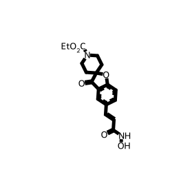 CCOC(=O)N1CCC2(CC1)Oc1ccc(/C=C/C(=O)NO)cc1C2=O